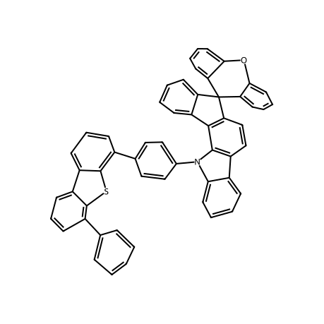 c1ccc(-c2cccc3c2sc2c(-c4ccc(-n5c6ccccc6c6ccc7c(c65)-c5ccccc5C75c6ccccc6Oc6ccccc65)cc4)cccc23)cc1